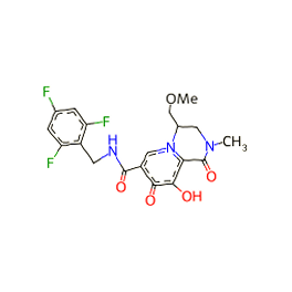 COCC1CN(C)C(=O)c2c(O)c(=O)c(C(=O)NCc3c(F)cc(F)cc3F)cn21